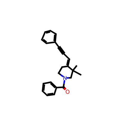 CC1(C)CN(C(=O)c2ccccc2)CC/C1=C\C#Cc1ccccc1